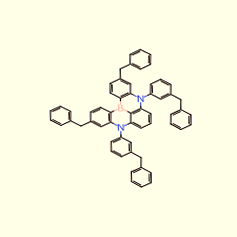 c1ccc(Cc2cccc(N3c4cc(Cc5ccccc5)ccc4B4c5ccc(Cc6ccccc6)cc5N(c5cccc(Cc6ccccc6)c5)c5cccc3c54)c2)cc1